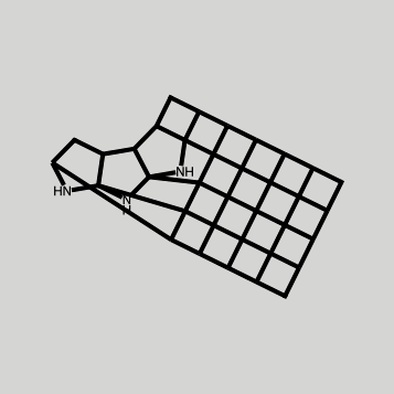 C1C2NC34NC56NC78C(CC7C7C9C%10C%11CC%12C%13C%14CC%15C%16C%17C2C32C%173C%16%17C%14%15C%13%14C%12%11C%10%11C9%10C78C52C3%10C%14%17%11)C6C14